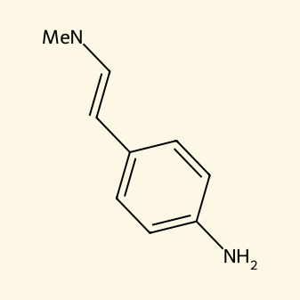 CN/C=C/c1ccc(N)cc1